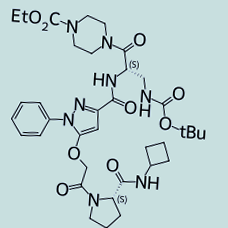 CCOC(=O)N1CCN(C(=O)[C@H](CNC(=O)OC(C)(C)C)NC(=O)c2cc(OCC(=O)N3CCC[C@H]3C(=O)NC3CCC3)n(-c3ccccc3)n2)CC1